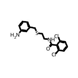 Nc1cccc(CSCCNC(=O)c2c(Cl)cccc2Cl)c1